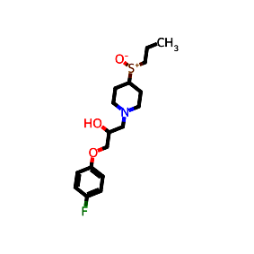 CCC[S+]([O-])C1CCN(CC(O)COc2ccc(F)cc2)CC1